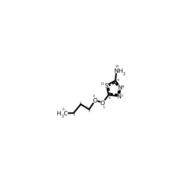 CCCCOOc1nnc(N)s1